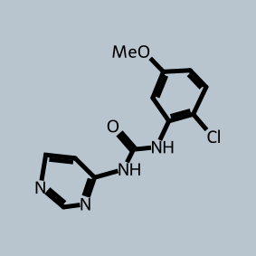 COc1ccc(Cl)c(NC(=O)Nc2ccncn2)c1